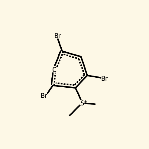 C[S+](C)c1c(Br)cc(Br)cc1Br